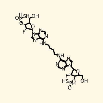 O=[PH](S)O[C@H]1[C@@H](F)[C@H](n2cnc3c(NCCCCNc4ncnc5c4ncn5C4OC(CO)[C@@H](O[PH](=O)S)[C@H]4F)ncnc32)O[C@@H]1CO